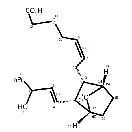 CCCC(O)/C=C/[C@@H]1[C@H](C/C=C\CSCC(=O)O)[C@@H]2CC[C@H]1O2